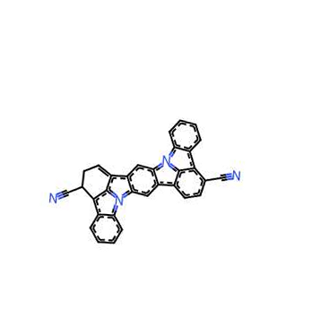 N#Cc1ccc2c3cc4c(cc3n3c5ccccc5c1c23)c1c2c(c3ccccc3n24)C(C#N)CC=1